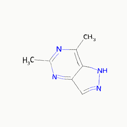 Cc1nc(C)c2[nH]ncc2n1